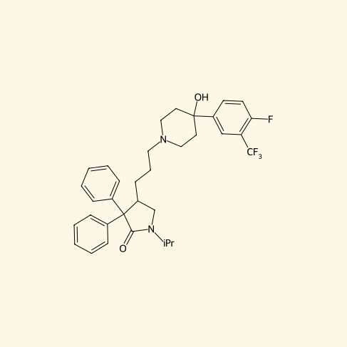 CC(C)N1CC(CCCN2CCC(O)(c3ccc(F)c(C(F)(F)F)c3)CC2)C(c2ccccc2)(c2ccccc2)C1=O